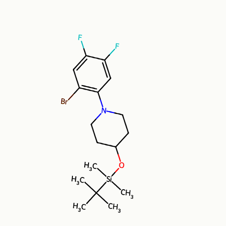 CC(C)(C)[Si](C)(C)OC1CCN(c2cc(F)c(F)cc2Br)CC1